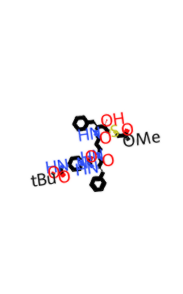 COC(=O)CSC[C@@H](O)[C@H](CC1CCCCC1)NC(=O)CCNC(=O)[C@H](Cc1ccccc1)NC(=O)N1CCC(NC(=O)OC(C)(C)C)CC1